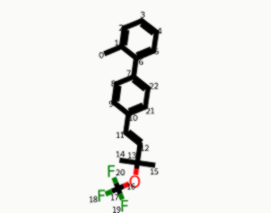 Cc1ccccc1-c1ccc(/C=C/C(C)(C)OC(F)(F)F)cc1